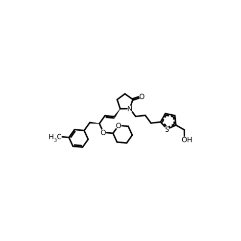 CC1=CC(C[C@@H](/C=C/[C@H]2CCC(=O)N2CCCc2ccc(CO)s2)OC2CCCCO2)CC=C1